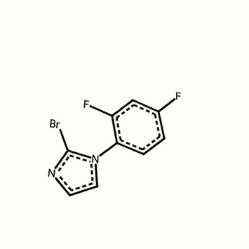 Fc1ccc(-n2ccnc2Br)c(F)c1